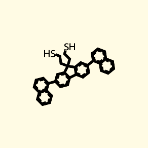 SCCC1(CCS)c2cc(-c3cccc4ccccc34)ccc2-c2ccc(-c3cccc4ccccc34)cc21